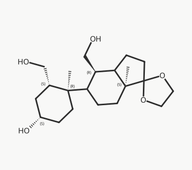 C[C@]12CCC([C@@]3(C)CC[C@H](O)C[C@@H]3CO)[C@@H](CO)C1CCC21OCCO1